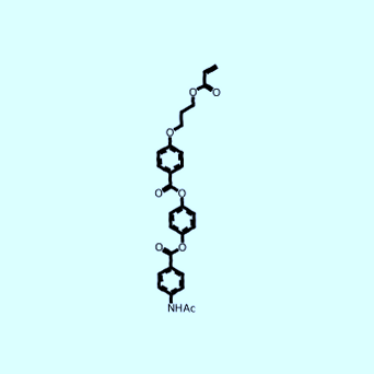 C=CC(=O)OCCCOc1ccc(C(=O)Oc2ccc(OC(=O)c3ccc(NC(C)=O)cc3)cc2)cc1